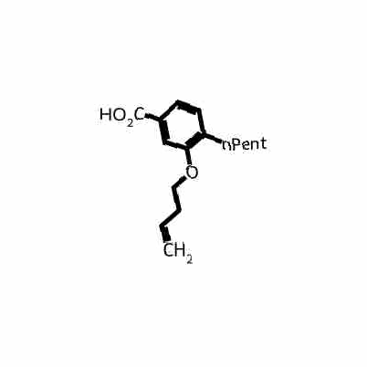 C=CCCOc1cc(C(=O)O)ccc1CCCCC